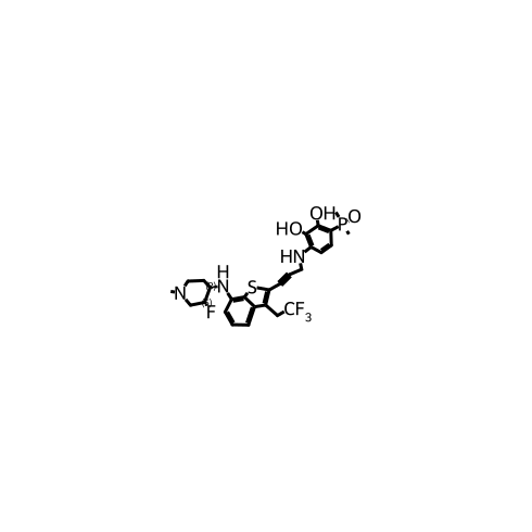 CN1CC[C@@H](Nc2cccc3c(CC(F)(F)F)c(C#CCNc4ccc(P(C)(C)=O)c(O)c4O)sc23)[C@@H](F)C1